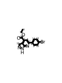 CCOC(=O)c1cc(-c2ccc(Br)cc2)nc2[nH]ncc12